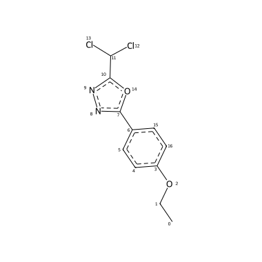 CCOc1ccc(-c2nnc(C(Cl)Cl)o2)cc1